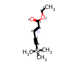 CCOC(=O)/C=C/C#C[Si](C)(C)C